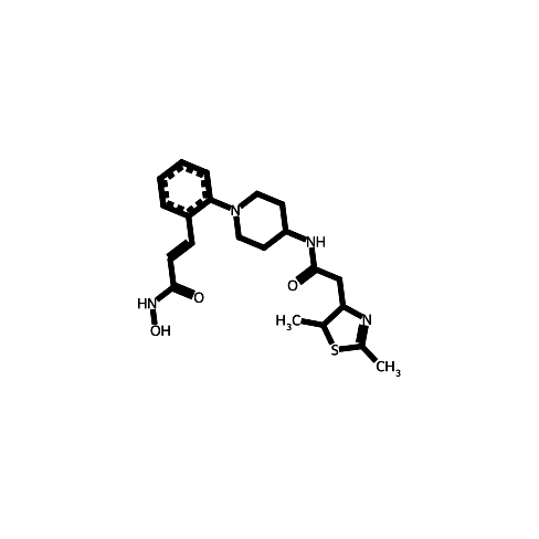 CC1=NC(CC(=O)NC2CCN(c3ccccc3/C=C/C(=O)NO)CC2)C(C)S1